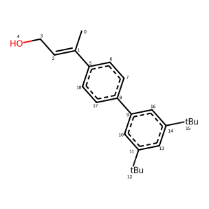 CC(=CCO)c1ccc(-c2cc(C(C)(C)C)cc(C(C)(C)C)c2)cc1